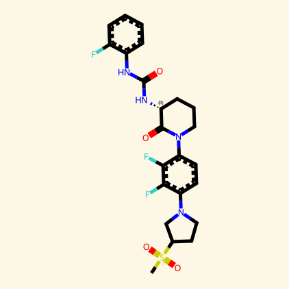 CS(=O)(=O)C1CCN(c2ccc(N3CCC[C@@H](NC(=O)Nc4ccccc4F)C3=O)c(F)c2F)C1